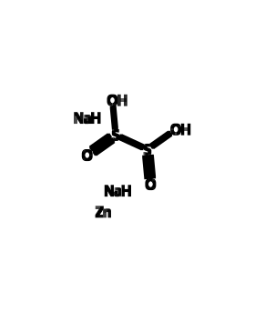 O=S(O)S(=O)O.[NaH].[NaH].[Zn]